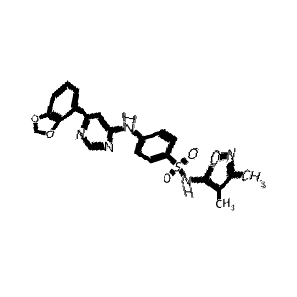 Cc1noc(NS(=O)(=O)c2ccc(Nc3cc(-c4cccc5c4OCO5)ncn3)cc2)c1C